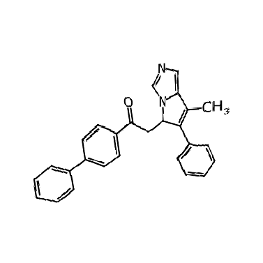 CC1=C(c2ccccc2)C(CC(=O)c2ccc(-c3ccccc3)cc2)n2cncc21